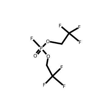 O=P(F)(OCC(F)(F)F)OCC(F)(F)F